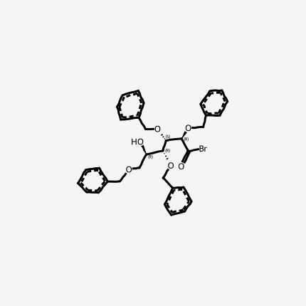 O=C(Br)[C@H](OCc1ccccc1)[C@@H](OCc1ccccc1)[C@H](OCc1ccccc1)[C@H](O)COCc1ccccc1